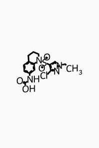 CCn1cc(S(=O)(=O)N2CCCc3ccc(NC(=O)O)cc32)c(Cl)n1